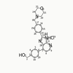 Cl.OCc1ccc(-c2ccnc3[nH]c(-c4ccc(CN5CCOCC5)cc4)nc23)cc1